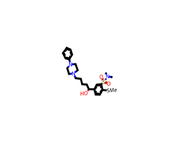 CSc1ccc(C(O)CCCCN2CCN(c3ccccc3)CC2)cc1S(=O)(=O)N(C)C